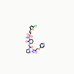 O=C(CSc1ccncc1)NC[C@@H]1CCCN1C(=O)CN1CCC[C@H](NS(=O)(=O)/C=C/c2ccc(Cl)s2)C1=O